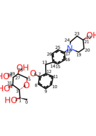 C[C@@H](O)[C@H]1O[C@@H](Oc2ccccc2Cc2ccc(N3CCC(O)CC3)cc2)[C@H](O)[C@@H](O)[C@@H]1O